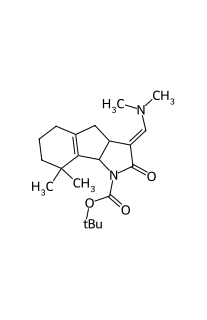 CN(C)/C=C1/C(=O)N(C(=O)OC(C)(C)C)C2C3=C(CCCC3(C)C)CC12